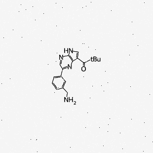 CC(C)(C)C(=O)c1c[nH]c2ncc(-c3cccc(CN)c3)nc12